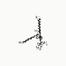 CCCCCCCCCC[C@@H](O)CN(CCCC[C@H](N)C(=O)OC)C[C@H](O)CCCCCCCCCC